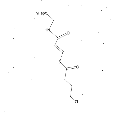 CCCCCCCCNC(=O)C=CSC(=O)CCCCl